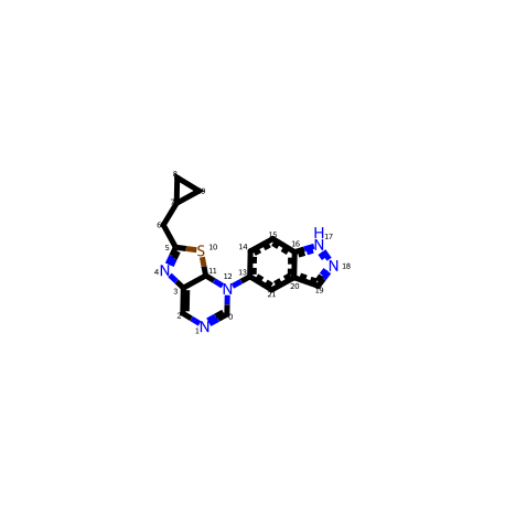 C1=NC=C2N=C(CC3CC3)SC2N1c1ccc2[nH]ncc2c1